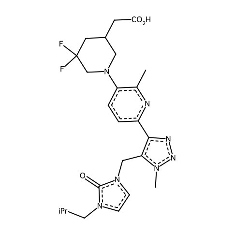 Cc1nc(-c2nnn(C)c2Cn2ccn(CC(C)C)c2=O)ccc1N1CC(CC(=O)O)CC(F)(F)C1